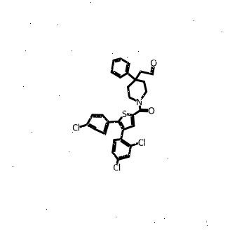 O=CCC1(c2ccccc2)CCN(C(=O)c2cc(-c3ccc(Cl)cc3Cl)c(-c3ccc(Cl)cc3)s2)CC1